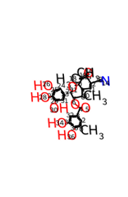 Cc1cc(C(=O)O[C@H]2CC3(C)C=C(C#N)C(=O)C(C)(C)C3O[C@H]2c2cc(O)c(O)c(O)c2)cc(O)c1O